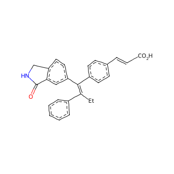 CCC(=C(c1ccc(C=CC(=O)O)cc1)c1ccc2c(c1)C(=O)NC2)c1ccccc1